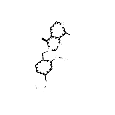 COc1ccc(Cn2cnc3c(C)nccc3c2=O)c(OC)c1